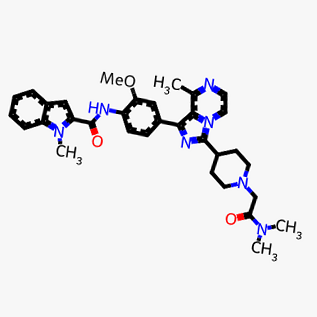 COc1cc(-c2nc(C3CCN(CC(=O)N(C)C)CC3)n3ccnc(C)c23)ccc1NC(=O)c1cc2ccccc2n1C